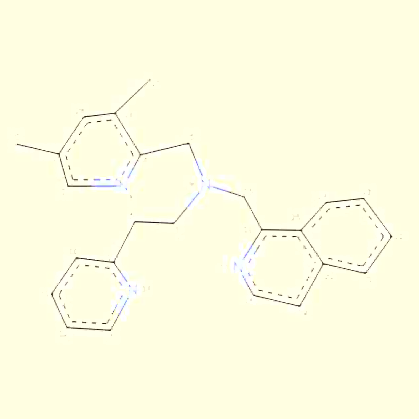 Cc1cnc(CN(CCc2ccccn2)Cc2nccc3ccccc23)c(C)c1